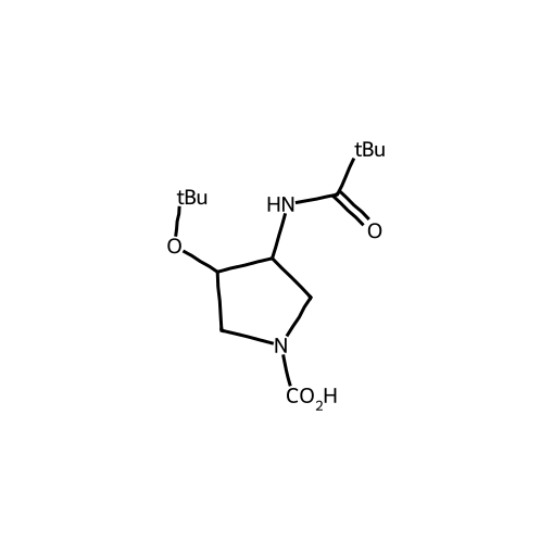 CC(C)(C)OC1CN(C(=O)O)CC1NC(=O)C(C)(C)C